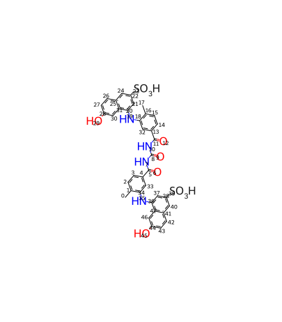 Cc1ccc(C(=O)NC(=O)NC(=O)c2ccc(C)c(Nc3cc(S(=O)(=O)O)cc4ccc(O)cc34)c2)cc1Nc1cc(S(=O)(=O)O)cc2ccc(O)cc12